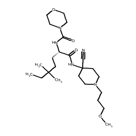 CCC(C)(C)CC[C@H](NC(=O)N1CCOCC1)C(=O)NC1(C#N)CCN(CCCOC)CC1